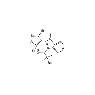 CCc1noc(CC)c1-c1c(C(O)C(C)(C)N)c2ccccc2n1C